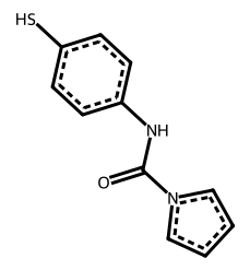 O=C(Nc1ccc(S)cc1)n1cccc1